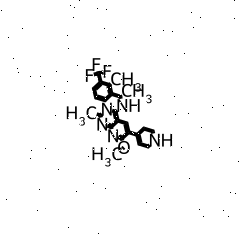 COc1nc2nc(C)nc(N[C@H](C)c3cccc(C(F)(F)F)c3C)c2cc1C1=CCNCC1